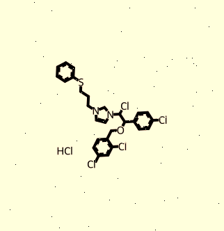 Cl.Clc1ccc(C(OCc2ccc(Cl)cc2Cl)C(Cl)N2C=CN(CCCSc3ccccc3)C2)cc1